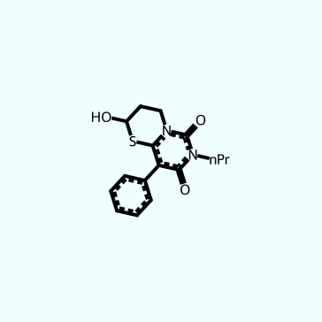 CCCn1c(=O)c(-c2ccccc2)c2n(c1=O)CCC(O)S2